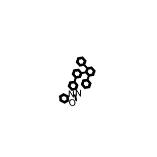 c1ccc(-c2cccc(-c3ccccc3)c2-c2cccc(-c3ccc4c(c3)nc3n4-c4ccccc4OC3)c2)cc1